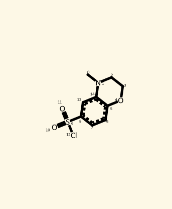 CN1CCOc2ccc(S(=O)(=O)Cl)cc21